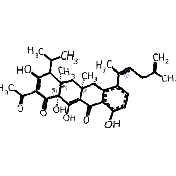 C=C(C)C/C=C(/C)c1ccc(O)c2c1C[C@]1(C)C[C@]3(C)C(C(C)C)C(O)=C(C(C)=O)C(=O)[C@]3(O)C(O)=C1C2=O